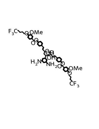 COc1cc(C(=O)Oc2ccc(C=CC(=O)CC(c3cc(N)cc(N)c3)C(O)(O)C(=O)C=Cc3ccc(OC(=O)c4ccc(OCCCCC(F)(F)F)c(OC)c4)cc3)cc2)ccc1OCCCCC(F)(F)F